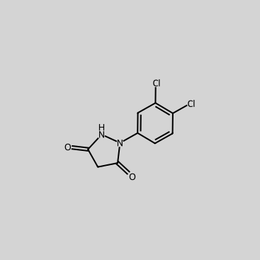 O=C1CC(=O)N(c2ccc(Cl)c(Cl)c2)N1